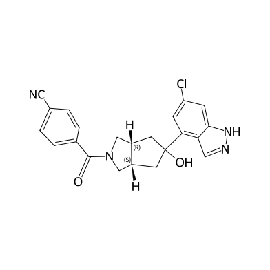 N#Cc1ccc(C(=O)N2C[C@@H]3CC(O)(c4cc(Cl)cc5[nH]ncc45)C[C@@H]3C2)cc1